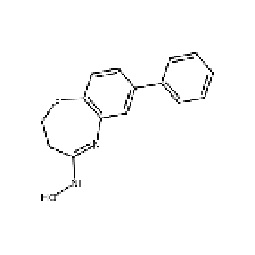 ONC1=Nc2cc(-c3ccccc3)ccc2SCC1